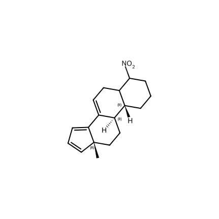 C[C@@]12C=CC=C1C1=CCC3C([N+](=O)[O-])CCC[C@@H]3[C@H]1CC2